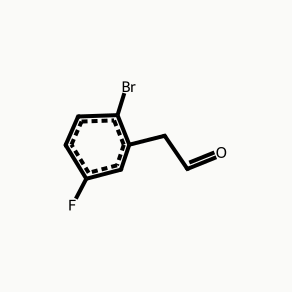 O=CCc1cc(F)ccc1Br